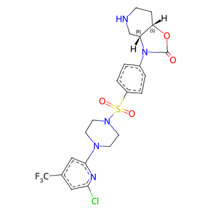 O=C1O[C@H]2CCNC[C@H]2N1c1ccc(S(=O)(=O)N2CCN(c3cc(C(F)(F)F)cc(Cl)n3)CC2)cc1